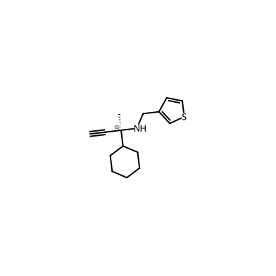 C#C[C@@](C)(NCc1ccsc1)C1CCCCC1